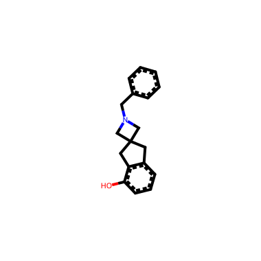 Oc1cccc2c1CC1(C2)CN(Cc2ccccc2)C1